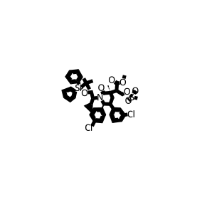 COC(=O)C(COS(C)(=O)=O)[C@@]1(C)CC(c2cccc(Cl)c2)[C@@H](c2ccc(Cl)cc2)N(C(CO[Si](c2ccccc2)(c2ccccc2)C(C)(C)C)C2CC2)C1=O